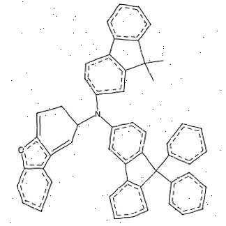 CC1(C)c2ccccc2-c2ccc(N(c3ccc4c(c3)-c3ccccc3C4(c3ccccc3)c3ccccc3)C3C=c4c(oc5ccccc45)=CC3)cc21